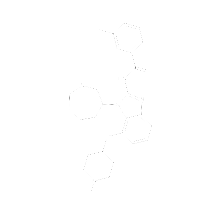 CC(=O)N1CCC(Oc2cccc3nc(NC(=O)c4cccc(C)c4)n(C4CCCCNC4)c23)CC1